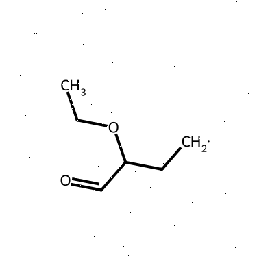 [CH2]CC(C=O)OCC